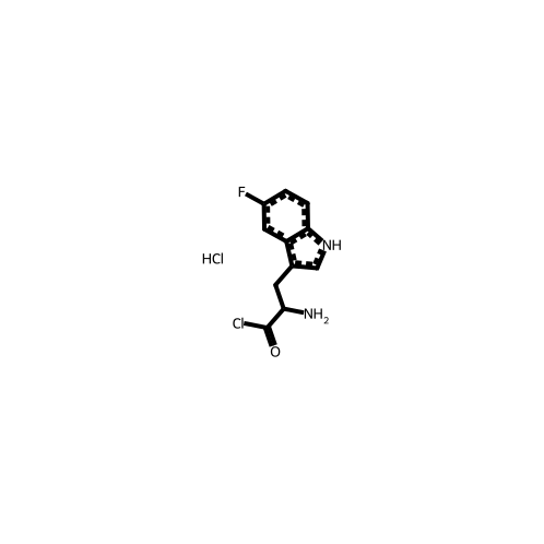 Cl.NC(Cc1c[nH]c2ccc(F)cc12)C(=O)Cl